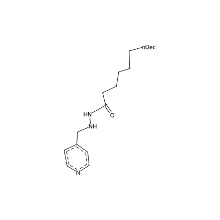 CCCCCCCCCCCCCCCC(=O)NNCc1ccncc1